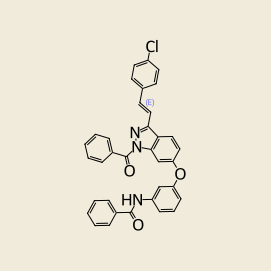 O=C(Nc1cccc(Oc2ccc3c(/C=C/c4ccc(Cl)cc4)nn(C(=O)c4ccccc4)c3c2)c1)c1ccccc1